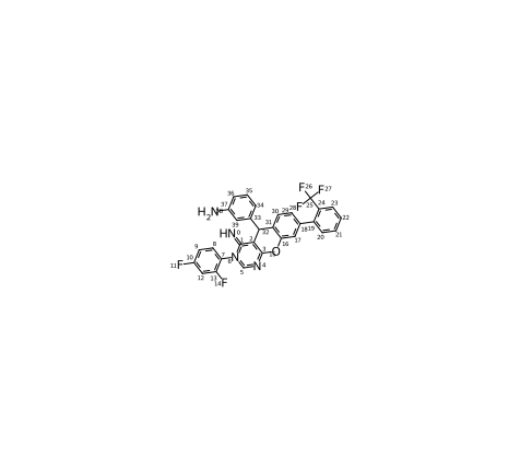 N=c1c2c(ncn1-c1ccc(F)cc1F)Oc1cc(-c3ccccc3C(F)(F)F)ccc1C2c1cccc(N)c1